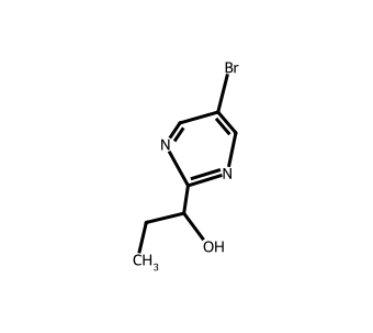 CCC(O)c1ncc(Br)cn1